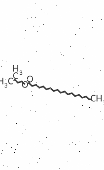 CCCCCCCCCCCCCCCCCCC(=O)OCCC(C)C